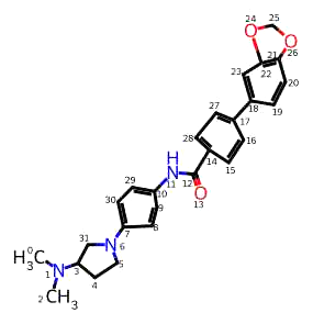 CN(C)C1CCN(c2ccc(NC(=O)c3ccc(-c4ccc5c(c4)OCO5)cc3)cc2)C1